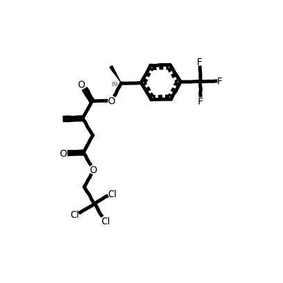 C=C(CC(=O)OCC(Cl)(Cl)Cl)C(=O)O[C@@H](C)c1ccc(C(F)(F)F)cc1